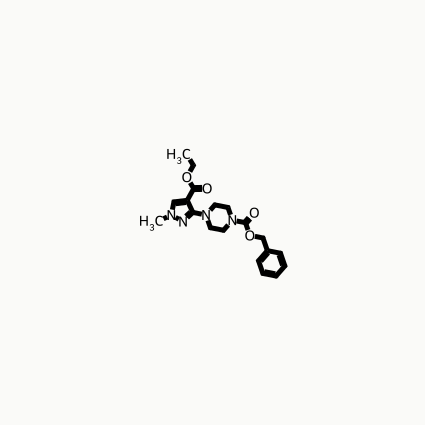 CCOC(=O)c1cn(C)nc1N1CCN(C(=O)OCc2ccccc2)CC1